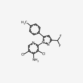 Cc1ccc(-c2cc(C(F)F)nn2-c2ncc(Cl)c(N)c2Cl)cc1